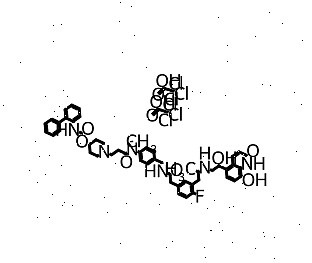 CC(Cc1cc(CC(=O)NCc2ccc(N(C)C(=O)CCN3CCC(OC(=O)Nc4ccccc4-c4ccccc4)CC3)cc2)ccc1F)NC[C@H](O)c1ccc(O)c2[nH]c(=O)ccc12.O=C(O)C(Cl)(Cl)Cl.O=C(O)C(Cl)(Cl)Cl